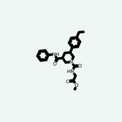 CCc1ccc(C2CC(C(=O)Nc3ccccc3)CN(C(=O)NCC(=O)OC)C2)cc1